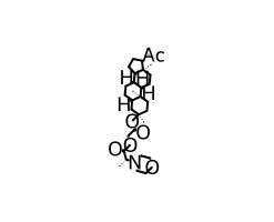 CC(=O)[C@H]1CC[C@H]2[C@@H]3CC[C@H]4C[C@](C)(OC(=O)COC(=O)[C@@H](C)N5CCOCC5)CC[C@]4(C)[C@H]3CC[C@]12C